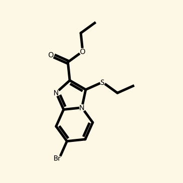 CCOC(=O)c1nc2cc(Br)ccn2c1SCC